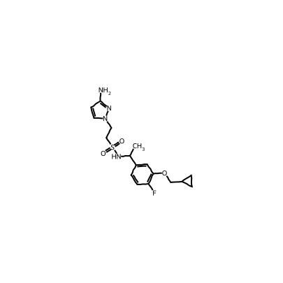 CC(NS(=O)(=O)CCn1ccc(N)n1)c1ccc(F)c(OCC2CC2)c1